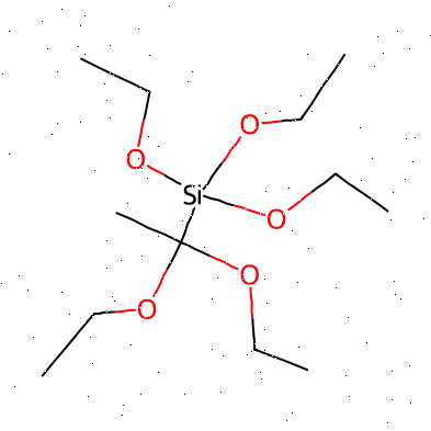 CCOC(C)(OCC)[Si](OCC)(OCC)OCC